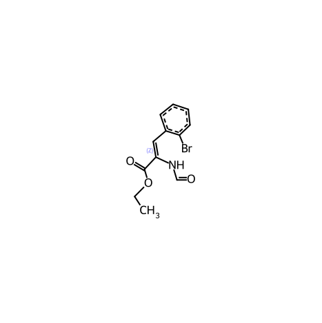 CCOC(=O)/C(=C/c1ccccc1Br)NC=O